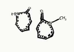 Cn1ccccc1=O.O=c1cccc[nH]1